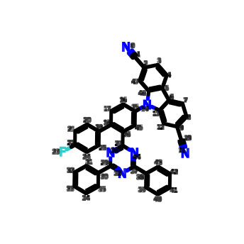 N#Cc1ccc2c3ccc(C#N)cc3n(-c3ccc(-c4ccc(F)cc4)c(-c4nc(-c5ccccc5)nc(-c5ccccc5)n4)c3)c2c1